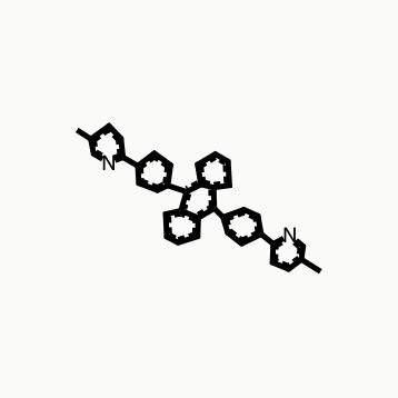 Cc1ccc(-c2ccc(-c3c4ccccc4c(-c4ccc(-c5ccc(C)cn5)cc4)c4ccccc34)cc2)nc1